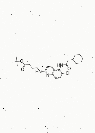 CC(C)(C)OC(=O)CCCNc1ccc2c(NC(=O)CC3CCCCC3)c(Cl)ccc2n1